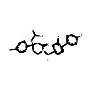 CC(O)C[C@]1(c2ccc(F)cc2)CCN([C@@H](C)c2ccc(-c3ccc(F)cc3)c(F)c2)C(=O)O1